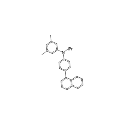 Cc1cc(C)cc(N(c2ccc(-c3cccc4ccccc34)cc2)C(C)C)c1